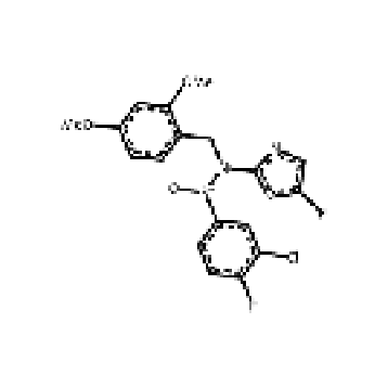 COc1ccc(CN(c2ncc(F)s2)[S+]([O-])c2ccc(F)c(Cl)c2)c(OC)c1